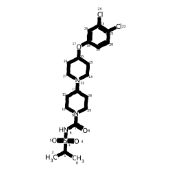 CC(C)S(=O)(=O)NC(=O)N1CCC(N2CCC(Oc3ccc(Cl)c(Cl)c3)CC2)CC1